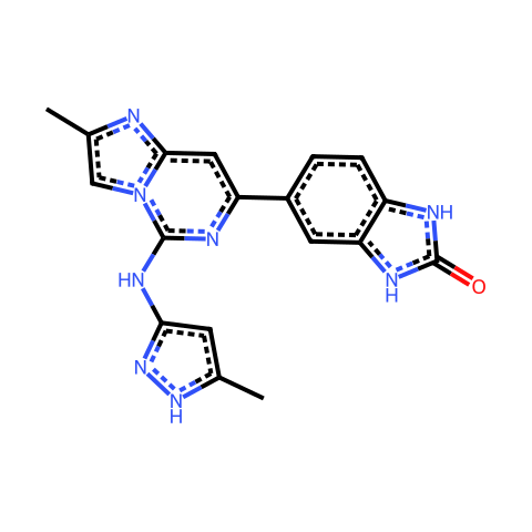 Cc1cn2c(Nc3cc(C)[nH]n3)nc(-c3ccc4[nH]c(=O)[nH]c4c3)cc2n1